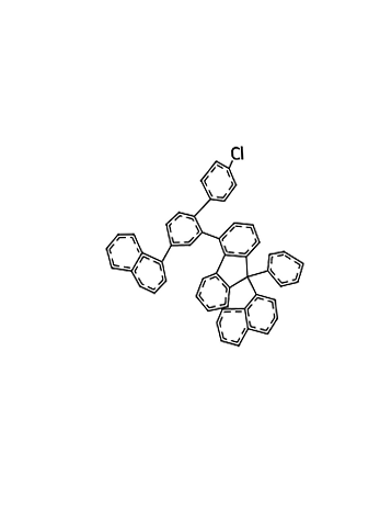 Clc1ccc(-c2ccc(-c3cccc4ccccc34)cc2-c2cccc3c2-c2ccccc2C3(c2ccccc2)c2cccc3ccccc23)cc1